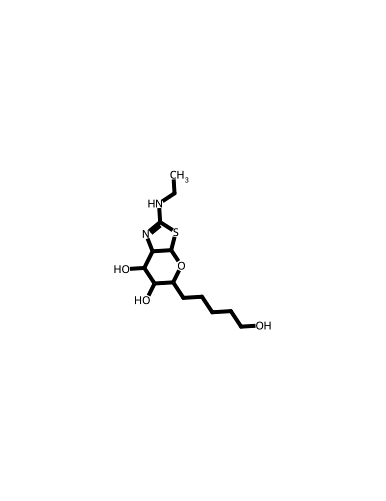 CCNC1=NC2C(OC(CCCCCO)C(O)C2O)S1